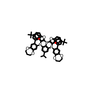 CC(C)c1cc2c3c(c1)N(c1cc4c(cc1-c1ccccc1)OCCCO4)c1c(oc4ccc(C(C)(C)C)cc14)B3c1oc3ccc(C(C)(C)C)cc3c1N2c1cc2c(cc1-c1ccccc1)OCCCO2